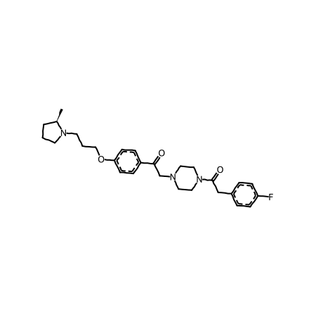 C[C@@H]1CCCN1CCCOc1ccc(C(=O)CN2CCN(C(=O)Cc3ccc(F)cc3)CC2)cc1